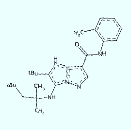 Cc1ccccc1NC(=O)c1cnn2c(NC(C)(C)CC(C)(C)C)c(C(C)(C)C)[nH]c12